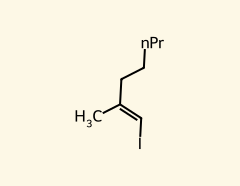 CCCCCC(C)=CI